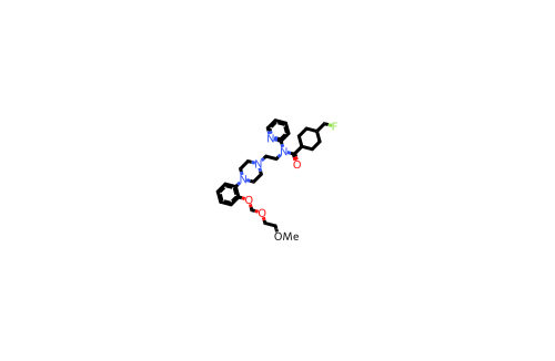 COCCOCOc1ccccc1N1CCN(CCN(C(=O)C2CCC(CF)CC2)c2ccccn2)CC1